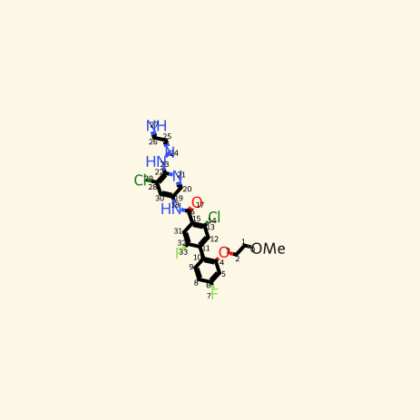 COCCOc1cc(F)ccc1-c1cc(Cl)c(C(=O)Nc2cnc(N/N=C\C=N)c(Cl)c2)cc1F